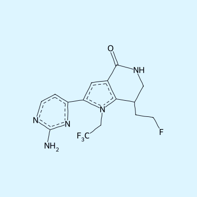 Nc1nccc(-c2cc3c(n2CC(F)(F)F)C(CCF)CNC3=O)n1